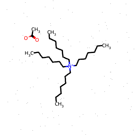 CC(=O)[O-].CCCCCCC[N+](CCCCCCC)(CCCCCCC)CCCCCCC